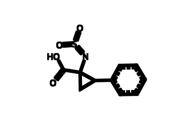 O=C(O)C1(N=S(=O)=O)CC1c1ccccc1